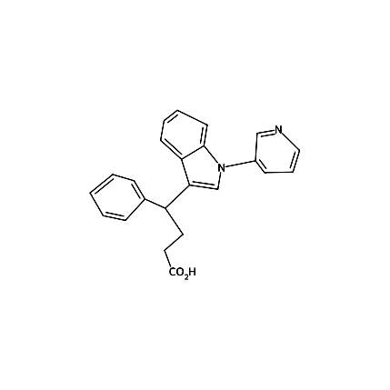 O=C(O)CCC(c1ccccc1)c1cn(-c2cccnc2)c2ccccc12